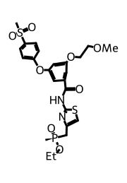 CCO[P@](C)(=O)Cc1csc(NC(=O)c2cc(OCCOC)cc(Oc3ccc(S(C)(=O)=O)cc3)c2)n1